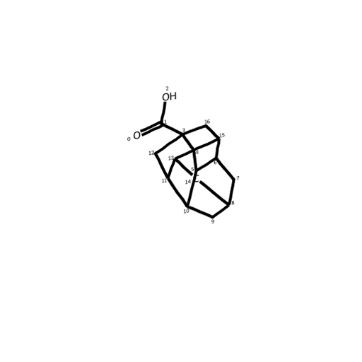 O=C(O)C12CC3C4CC5CC3C(C1)C(C5)C4C2